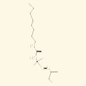 CCCCCCCCNC(=S)NC(C)(C)N=NC(C)CC